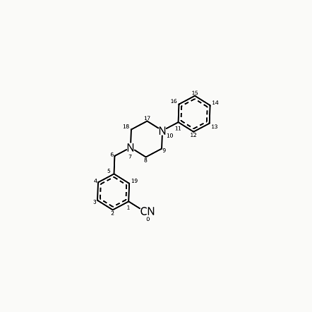 N#Cc1cccc(CN2CCN(c3ccccc3)CC2)c1